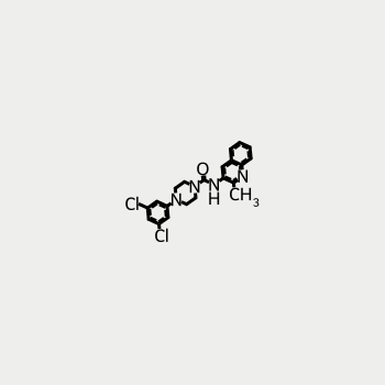 Cc1nc2ccccc2cc1NC(=O)N1CCN(c2cc(Cl)cc(Cl)c2)CC1